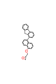 c1ccc2c(c1)Cc1c-2cccc1-c1cccc2c(OCC3CO3)cccc12